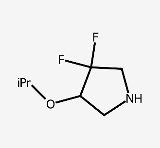 CC(C)OC1CNCC1(F)F